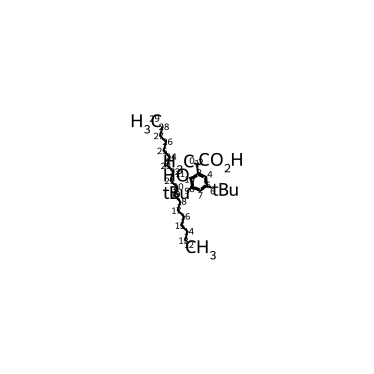 CC(C(=O)O)c1cc(C(C)(C)C)cc(C(C)(C)C)c1O.CCCCCCCCCCCCCCCCCC